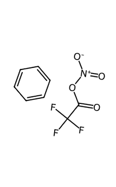 O=C(O[N+](=O)[O-])C(F)(F)F.c1ccccc1